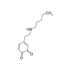 CCCCCNCCC1=CC(=O)C(=O)C=C1